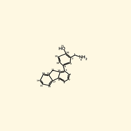 NCc1cc(-c2cccc3c2Cc2ccccc2-3)ccc1O